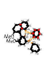 COc1ccccc1-c1c(OC)ccc(P(c2ccccc2)c2ccccc2)c1P(c1ccccc1)c1ccccc1